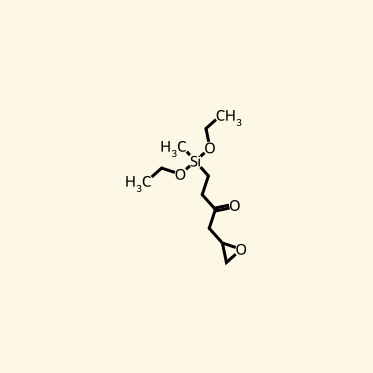 CCO[Si](C)(CCC(=O)CC1CO1)OCC